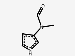 CN([C]=O)c1cc[nH]c1